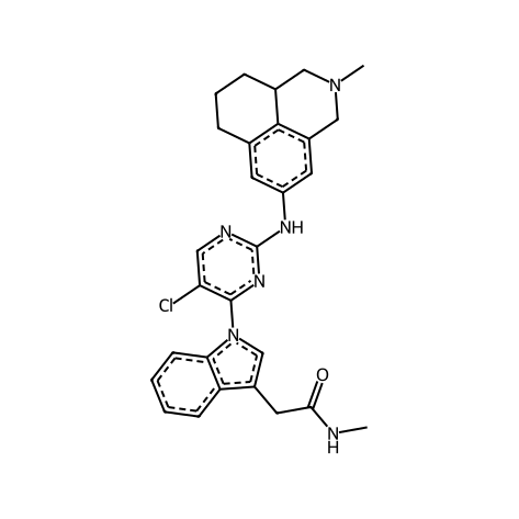 CNC(=O)Cc1cn(-c2nc(Nc3cc4c5c(c3)CN(C)CC5CCC4)ncc2Cl)c2ccccc12